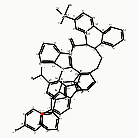 C=C1C2C(CCc3ccc4c(oc5cc(-c6ccc(F)cc6)ccc54)c3-c3n(-c4c(C(C)C)cc(-c5ccccc5)cc4C(C)C)c4ccccc4[n+]31)c1ccccc1-c1ccc([Si](C)(C)C)c[n+]12